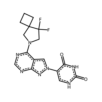 O=c1[nH]cc(-n2cc3c(N4CC(F)(F)C5(CCC5)C4)ncnc3n2)c(=O)[nH]1